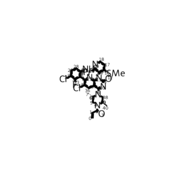 C=CC(=O)N1C[C@H](C)N(c2nc(=O)n(-c3c(SC)ccnc3C(C)C)c3nc(-c4c(N)ccc(Cl)c4F)c(Cl)cc23)C[C@H]1C